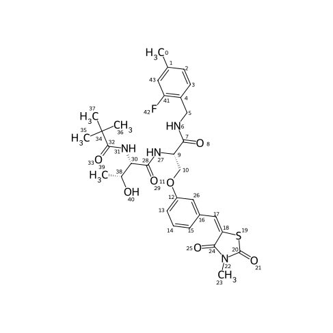 Cc1ccc(CNC(=O)[C@H](COc2cccc(C=C3SC(=O)N(C)C3=O)c2)NC(=O)[C@@H](NC(=O)C(C)(C)C)[C@@H](C)O)c(F)c1